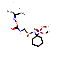 CCOP(=S)(OCC)C1(N[S+]([O-])CNC(=O)ON=C(C)SC)CCCCC1